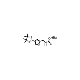 CC(C)(C)OC(=O)NCc1cc(B2OC(C)(C)C(C)(C)O2)cs1